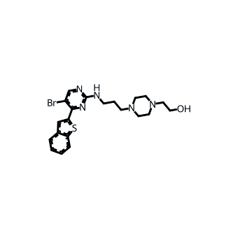 OCCN1CCN(CCCNc2ncc(Br)c(-c3cc4ccccc4s3)n2)CC1